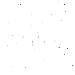 O=C(O)C(Br)=C(Br)Br.[Cd]